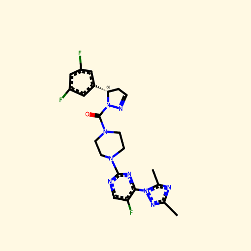 Cc1nc(C)n(-c2nc(N3CCN(C(=O)N4N=CC[C@H]4c4cc(F)cc(F)c4)CC3)ncc2F)n1